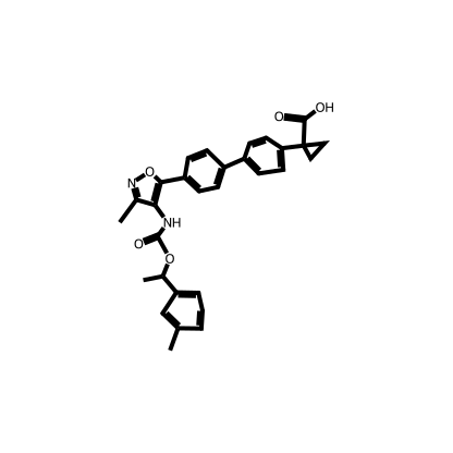 Cc1cccc(C(C)OC(=O)Nc2c(C)noc2-c2ccc(-c3ccc(C4(C(=O)O)CC4)cc3)cc2)c1